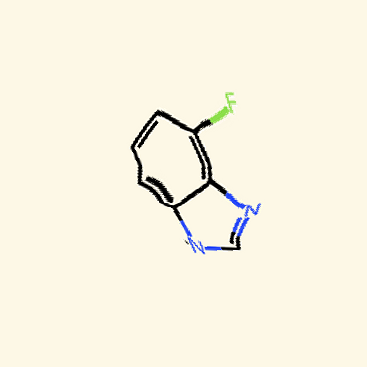 Fc1cccc2c1N=C[N]2